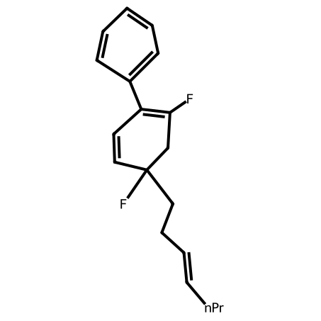 CCCC=CCCC1(F)C=CC(c2ccccc2)=C(F)C1